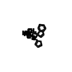 CC[C]1([Zr][C]2=CC=CC2)C=Cc2ccccc21.CNC